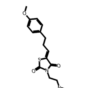 COc1ccc(CC/C=C2\SC(=O)N(CCN=O)C2=O)cc1